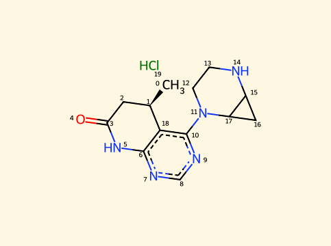 C[C@@H]1CC(=O)Nc2ncnc(N3CCNC4CC43)c21.Cl